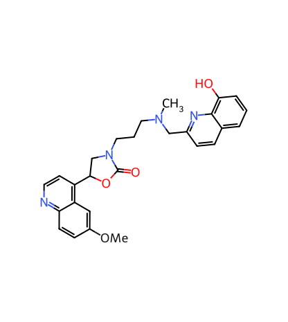 COc1ccc2nccc(C3CN(CCCN(C)Cc4ccc5cccc(O)c5n4)C(=O)O3)c2c1